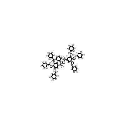 O=C(Oc1ccccc1OC(=O)c1cc(OCc2ccccc2)c(OCc2ccccc2)c(OCc2ccccc2)c1)c1cc(OCc2ccccc2)c(OCc2ccccc2)c(OCc2ccccc2)c1